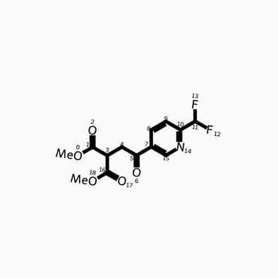 COC(=O)C(CC(=O)c1ccc(C(F)F)nc1)C(=O)OC